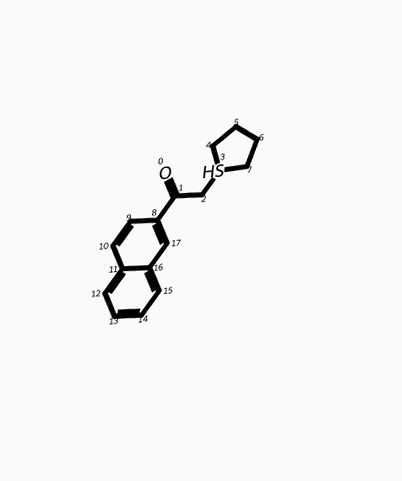 O=C(C[SH]1CCCC1)c1ccc2ccccc2c1